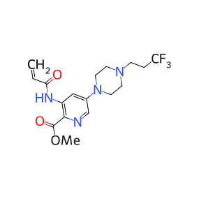 C=CC(=O)Nc1cc(N2CCN(CCC(F)(F)F)CC2)cnc1C(=O)OC